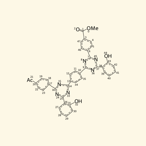 COC(=O)c1ccc(-c2nc(-c3ccc(-c4nc(-c5ccc(C(C)=O)cc5)nc(-c5ccccc5O)n4)cc3)nc(-c3ccccc3O)n2)cc1